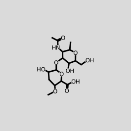 COC1CC(O)C(OC2C(O)C(CO)OC(C)C2NC(C)=O)OC1C(=O)O